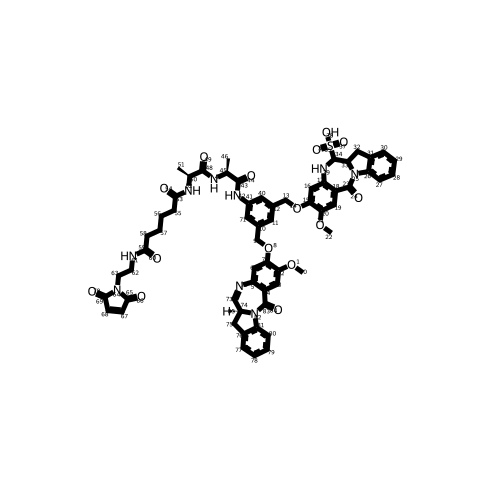 COc1cc2c(cc1OCc1cc(COc3cc4c(cc3OC)C(=O)N3c5ccccc5CC3C(S(=O)(=O)O)N4)cc(NC(=O)[C@H](C)NC(=O)[C@H](C)NC(=O)CCCCC(=O)NCCN3C(=O)C=CC3=O)c1)N=C[C@@H]1Cc3ccccc3N1C2=O